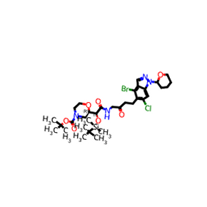 CC(C)(C)OC(=O)N1CCO[C@@H]([C@H](O[Si](C)(C)C(C)(C)C)C(=O)NCC(=O)CCc2c(Cl)cc3c(cnn3C3CCCCO3)c2Br)C1